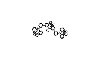 O=C1c2cc(-c3cccc(N4c5ccccc5S(=O)(=O)c5ccccc54)c3)ccc2S(=O)(=O)c2ccc(-c3cccc(N4c5ccccc5S(=O)(=O)c5ccccc54)c3)cc21